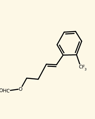 O=[C]OCC/C=C/c1ccccc1C(F)(F)F